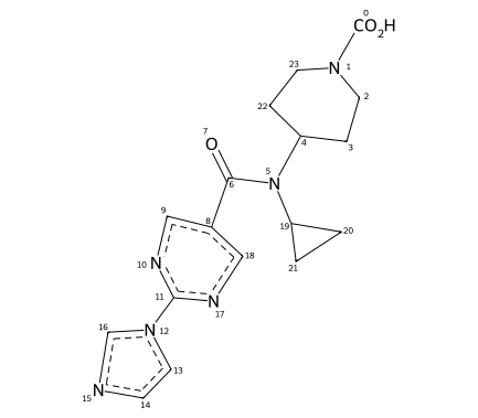 O=C(O)N1CCC(N(C(=O)c2cnc(-n3ccnc3)nc2)C2CC2)CC1